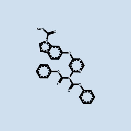 CNC(=O)n1ccc2ccc(Oc3cc(N(C(=O)Oc4ccccc4)C(=O)Oc4ccccc4)ncn3)cc21